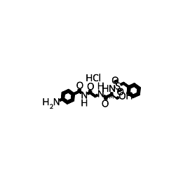 Cl.Nc1ccc(C(=O)NC(=O)CNC(=O)[C@H](CO)NS(=O)(=O)Cc2ccccc2)cc1